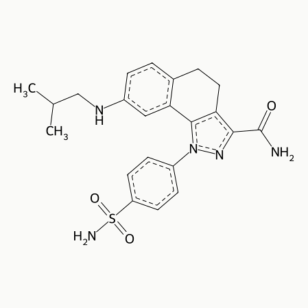 CC(C)CNc1ccc2c(c1)-c1c(c(C(N)=O)nn1-c1ccc(S(N)(=O)=O)cc1)CC2